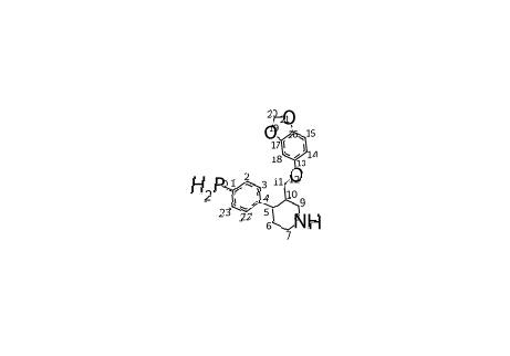 Pc1ccc(C2CCNCC2COc2ccc3c(c2)OCO3)cc1